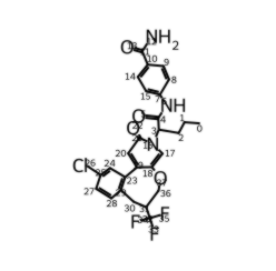 CCCC(C(=O)Nc1ccc(C(N)=O)cc1)n1cc2c(cc1=O)-c1cc(Cl)ccc1CC(C(F)(F)F)CO2